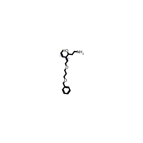 C/C=C\C(=C/COCCCOCc1ccccc1)C(O)CCN